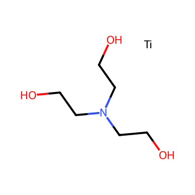 OCCN(CCO)CCO.[Ti]